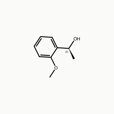 COc1ccccc1[C@H](C)O